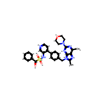 CCCc1nc2c(C)nc(N3CCOCC3)nc2n1Cc1ccc(-c2ccncc2NS(=O)(=O)C(=O)c2ccccc2)cc1